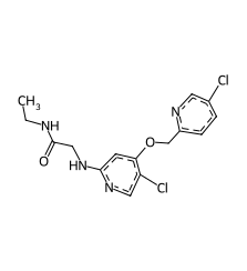 CCNC(=O)CNc1cc(OCc2ccc(Cl)cn2)c(Cl)cn1